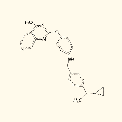 CC(c1ccc(CNc2ccc(Oc3nc(O)c4ccncc4n3)cc2)cc1)C1CC1